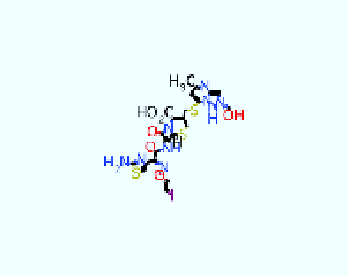 CC1=NC2=CN(CO)NN2C(SCC2=C(C(=O)O)N3C(=O)[C@@H](NC(=O)C(=NOCCI)c4csc(N)n4)[C@H]3SC2)=C1